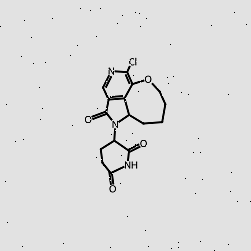 O=C1CCC(N2C(=O)c3cnc(Cl)c4c3C2CCCCO4)C(=O)N1